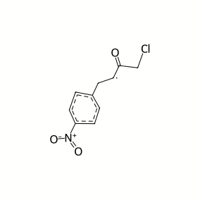 O=C([CH]Cc1ccc([N+](=O)[O-])cc1)CCl